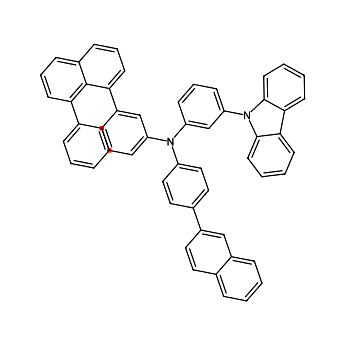 c1ccc(-c2cccc3cccc(-c4cccc(N(c5ccc(-c6ccc7ccccc7c6)cc5)c5cccc(-n6c7ccccc7c7ccccc76)c5)c4)c23)cc1